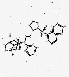 O=S(=O)(CCC[C@@H]1CCCN1S(=O)(=O)c1cccc2ccccc12)N1[C@@H]2CC[C@H]1C[C@@H](Oc1ccncc1)C2